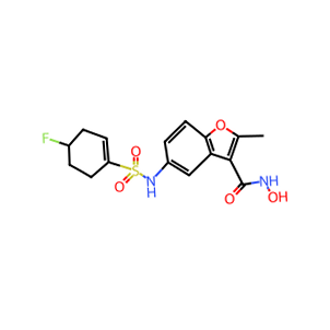 Cc1oc2ccc(NS(=O)(=O)C3=CCC(F)CC3)cc2c1C(=O)NO